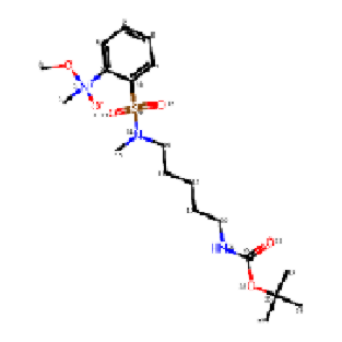 CO[N+](C)([O-])c1ccccc1S(=O)(=O)N(C)CCCCCNC(=O)OC(C)(C)C